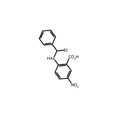 CCC([AsH]c1ccc([N+](=O)[O-])cc1C(=O)O)c1ccccc1